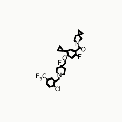 O=C(c1cc(C2CC2)c(OCC2(F)CCN(Cc3cc(C(F)(F)F)ccc3Cl)CC2)cc1F)N1CCC2(CC2)C1